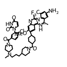 COc1cc2nc(C)nc(N[C@H](C)c3cc(N)cc(C(F)(F)F)c3)c2cc1C1CCC(C(=O)N2CCC(CCCN(C)C3CCN(C(=O)c4ccc(Cl)c(-n5ccc(=O)[nH]c5=O)c4)CC3)CC2)CC1